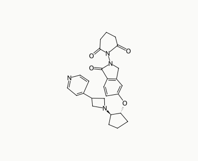 O=C1c2ccc(O[C@@H]3CCC[C@H]3N3CC(c4ccncc4)C3)cc2CN1N1C(=O)CCCC1=O